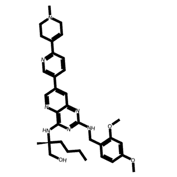 CCCC[C@](C)(CO)Nc1nc(NCc2ccc(OC)cc2OC)nc2cc(-c3ccc(C4=CCN(C)CC4)nc3)cnc12